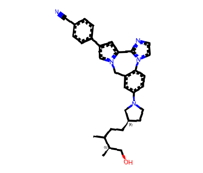 CC(CC[C@@H]1CCN(c2ccc3c(c2)Cn2cc(-c4ccc(C#N)cc4)cc2-c2nccn2-3)C1)[C@H](C)CO